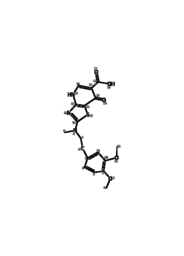 COc1ccc(CCN(C)c2nc3[nH]cc(C(=O)O)c(=O)c3s2)cc1OC